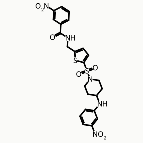 O=C(NCc1ccc(S(=O)(=O)N2CCC(Nc3cccc([N+](=O)[O-])c3)CC2)s1)c1cccc([N+](=O)[O-])c1